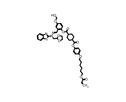 C=CC(=O)OCCCCCCOc1ccc(OC(=O)C2CCC(C(=O)Oc3ccc(OCO)cc3/C=N/N(CC3OCCO3)c3nc4ccccc4s3)CC2)cc1